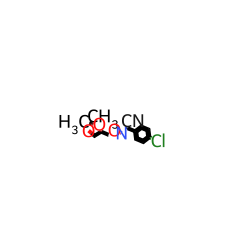 CC1(C)OCC(CON=C(C#N)c2ccc(Cl)cc2)O1